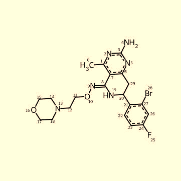 Cc1nc(N)nc2c1C(=NOCCN1CCOCC1)NC(c1ccc(F)cc1Br)C2